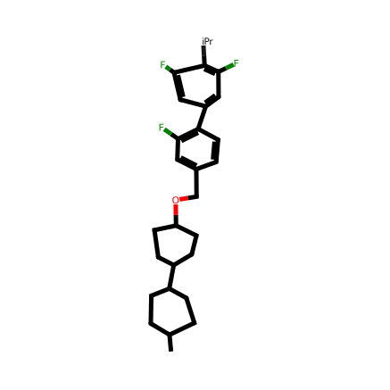 CC1CCC(C2CCC(OCc3ccc(-c4cc(F)c(C(C)C)c(F)c4)c(F)c3)CC2)CC1